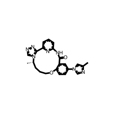 Cc1cn(-c2ccc3c(c2)C(=O)Nc2cccc(n2)-c2nncn2[C@@H](C)CCCO3)cn1